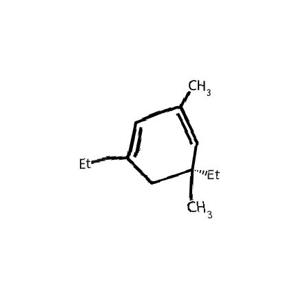 CCC1=CC(C)=C[C@](C)(CC)C1